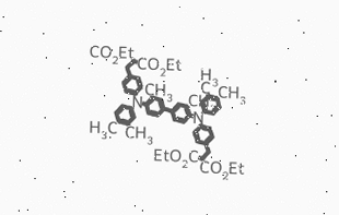 CCOC(=O)C(Cc1ccc(N(c2ccc(C)c(C)c2)c2ccc(-c3ccc(N(c4ccc(CC(C(=O)OCC)C(=O)OCC)cc4)c4ccc(C)c(C)c4)c(C)c3)cc2C)cc1)C(=O)OCC